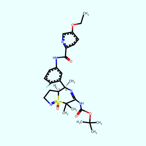 CCOc1ccc(C(=O)Nc2ccc(F)c([C@@]3(C)N=C(NC(=O)OC(C)(C)C)C(C)(C)S4(=O)=NCC[C@@H]34)c2)nc1